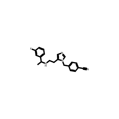 CC(NCCc1cncn1Cc1ccc(C#N)cc1)c1cccc(F)c1